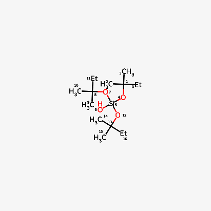 CCC(C)(C)O[Si](O)(OC(C)(C)CC)OC(C)(C)CC